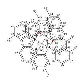 Cc1cccc([PH](c2cccc(C)c2)(c2cccc(C)c2)[Co]([Br])([PH](c2cccc(C)c2)(c2cccc(C)c2)c2cccc(C)c2)[PH](c2cccc(C)c2)(c2cccc(C)c2)c2cccc(C)c2)c1